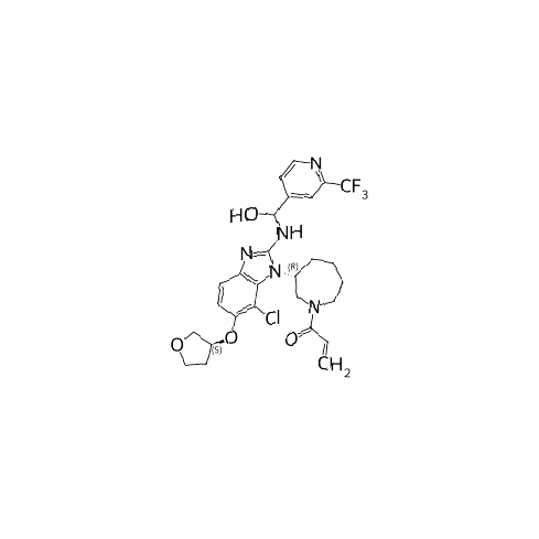 C=CC(=O)N1CCCC[C@@H](n2c(NC(O)c3ccnc(C(F)(F)F)c3)nc3ccc(O[C@H]4CCOC4)c(Cl)c32)C1